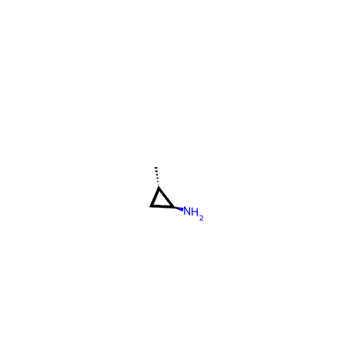 C[C@H]1C[C@@H]1N